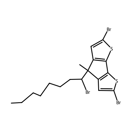 CCCCCCCC(Br)C1(C)c2cc(Br)sc2-c2sc(Br)cc21